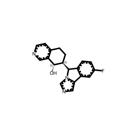 O[C@@H]1c2cnccc2CC[C@H]1C1c2ccc(F)cc2-c2cncn21